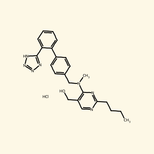 CCCCc1ncc(CO)c(N(C)Cc2ccc(-c3ccccc3-c3nnn[nH]3)cc2)n1.Cl